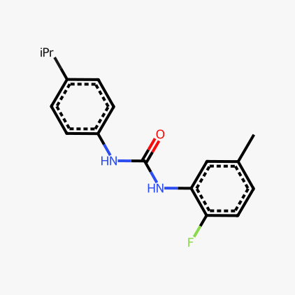 Cc1ccc(F)c(NC(=O)Nc2ccc(C(C)C)cc2)c1